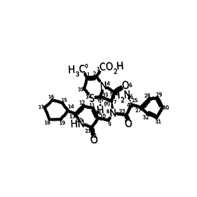 CC1=C(C(=O)O)N2C(=O)[C@@H](N(Cc3ccc(C4CCCCC4)[nH]c3=O)C(=O)[C@H](N)c3ccccc3)[C@H]2SC1